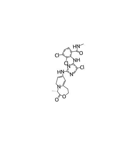 CNC(=O)c1ccc(Cl)c(Cl)c1Nc1nc(NC2=CCN3C(=C2)CCOC(=O)[C@@H]3C)ncc1Cl